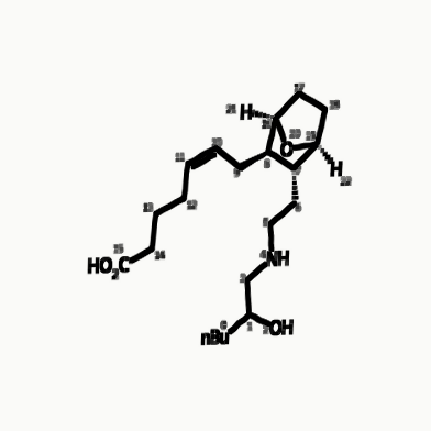 CCCCC(O)CNCC[C@@H]1[C@@H](C/C=C\CCCC(=O)O)[C@H]2CC[C@@H]1O2